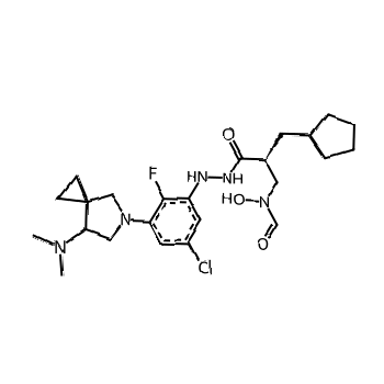 CN(C)C1CN(c2cc(Cl)cc(NNC(=O)[C@@H](CC3CCCC3)CN(O)C=O)c2F)CC12CC2